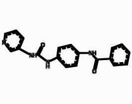 O=C(Nc1ccc(NC(=O)c2ccccc2)cc1)Nc1cccnc1